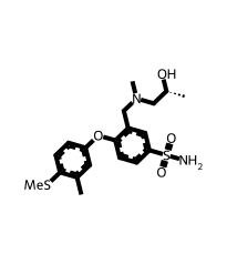 CSc1ccc(Oc2ccc(S(N)(=O)=O)cc2CN(C)C[C@@H](C)O)cc1C